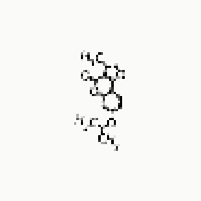 Cc1coc2c1c(=O)oc1cc(OC(C)C)ccc12